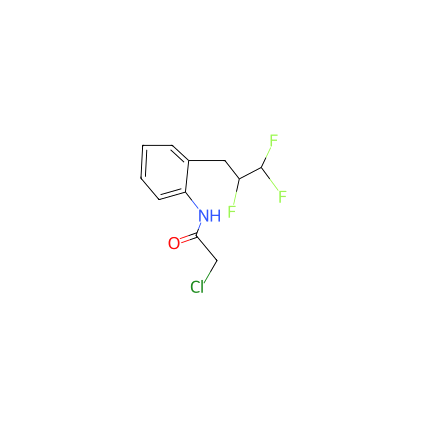 O=C(CCl)Nc1ccccc1CC(F)C(F)F